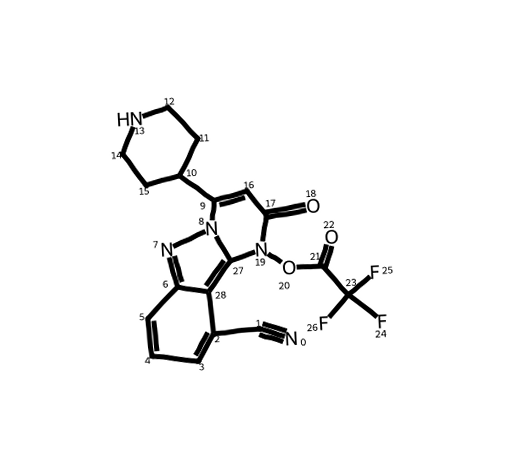 N#Cc1cccc2nn3c(C4CCNCC4)cc(=O)n(OC(=O)C(F)(F)F)c3c12